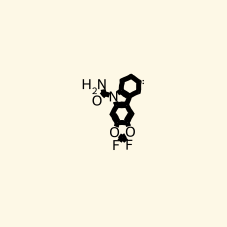 NC(=O)n1c2c(c3cc4c(cc31)OC(F)(F)O4)C[C]CC2